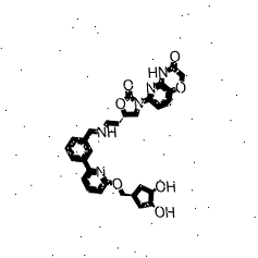 O=C1COc2ccc(N3C[C@H](CCNCc4cccc(-c5cccc(OC[C@H]6C[C@@H](O)[C@@H](O)C6)n5)c4)OC3=O)nc2N1